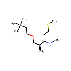 C=C(COCC[Si](C)(C)C)[C@H](CCSC)NC